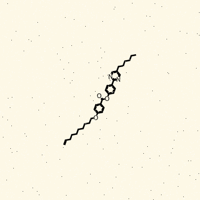 C=CCCCCCCCCOc1ccc(C(=O)Oc2ccc(-c3ncc(CCCCCC)cn3)cc2)cc1